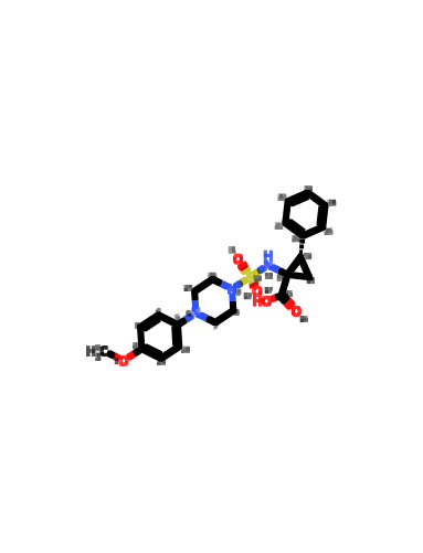 COc1ccc(N2CCN(S(=O)(=O)NC3(C(=O)O)C[C@H]3c3ccccc3)CC2)cc1